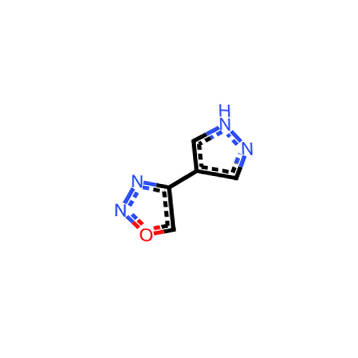 c1n[nH]cc1-c1conn1